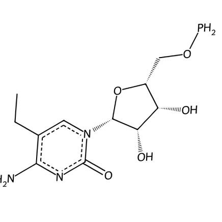 CCc1cn([C@@H]2O[C@H](COP)[C@H](O)[C@@H]2O)c(=O)nc1N